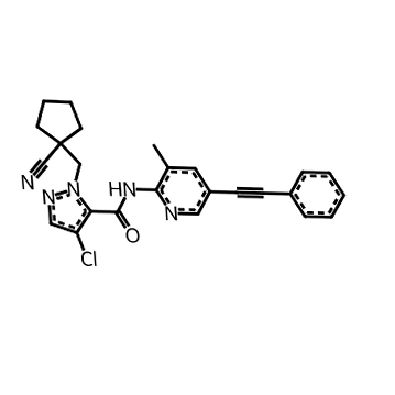 Cc1cc(C#Cc2ccccc2)cnc1NC(=O)c1c(Cl)cnn1CC1(C#N)CCCC1